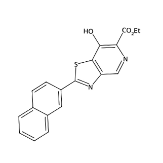 CCOC(=O)c1ncc2nc(-c3ccc4ccccc4c3)sc2c1O